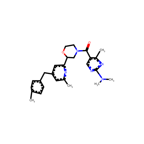 Cc1ccc(Cc2cc(C)nc(C3CN(C(=O)c4cnc(N(C)C)nc4C)CCO3)c2)cc1